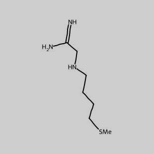 CSCCCCNCC(=N)N